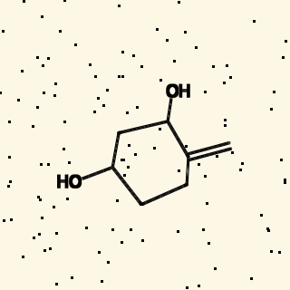 C=C1CCC(O)CC1O